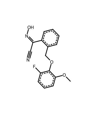 COc1cccc(F)c1OCc1ccccc1/C(C#N)=N\O